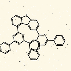 c1ccc(-c2cc(-c3ccccc3)nc(-c3ccc4sc5cccc(-c6nc(-c7ccccc7)nc(-c7ccccc7)n6)c5c4c3)n2)cc1